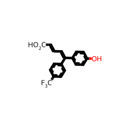 O=C(O)C=CC=C(c1ccc(O)cc1)c1ccc(C(F)(F)F)cc1